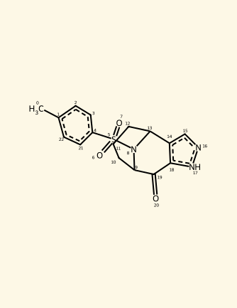 Cc1ccc(S(=O)(=O)N2C3CCCC2c2cn[nH]c2C3=O)cc1